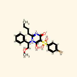 CCCCc1nc(=O)c(S(=O)(=O)c2ccc(Br)cc2)c(O)n1C(COC)c1ccccc1